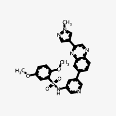 COc1ccc(OC)c(S(=O)(=O)Nc2cncc(-c3ccc4ncc(-c5cnn(C)c5)nc4c3)c2)c1